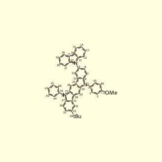 COc1ccc(-n2c3ccc(-n4c5ccccc5c5ccccc54)cc3c3cc4c(cc32)c2cc(C(C)(C)C)ccc2n4-c2ccccc2)cc1